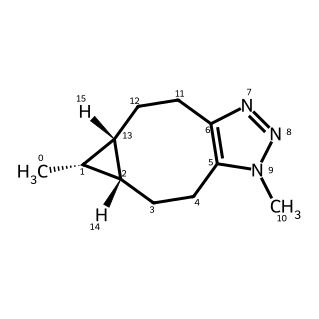 C[C@H]1[C@H]2CCc3c(nnn3C)CC[C@@H]12